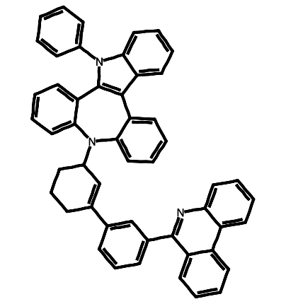 C1=C(c2cccc(-c3nc4ccccc4c4ccccc34)c2)CCCC1N1c2ccccc2-c2c(n(-c3ccccc3)c3ccccc23)-c2ccccc21